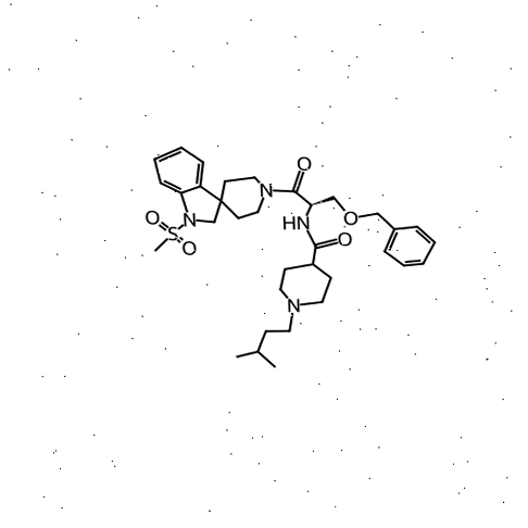 CC(C)CCN1CCC(C(=O)N[C@H](COCc2ccccc2)C(=O)N2CCC3(CC2)CN(S(C)(=O)=O)c2ccccc23)CC1